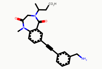 CC(CC(=O)O)N1CC(=O)N(C)c2ccc(C#Cc3cccc(CN)c3)cc2C1=O